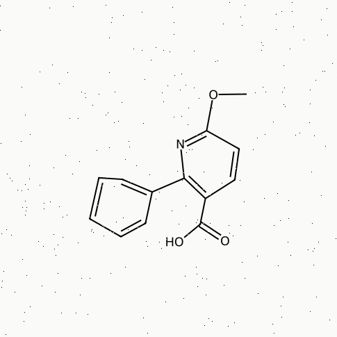 COc1ccc(C(=O)O)c(-c2ccccc2)n1